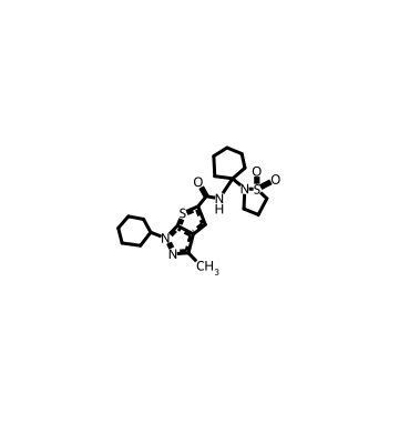 Cc1nn(C2CCCCC2)c2sc(C(=O)NC3(N4CCCS4(=O)=O)CCCCC3)cc12